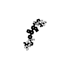 CCC(C)[C@H](NC(=O)OC)C(=O)N1CCC[C@H]1c1nc2ccc(-c3ccc(-c4ccc(-c5cnc([C@@H]6CCCN6C(=O)[C@@H](NC(=O)OC)C(C)C)[nH]5)c5c4C4CCC4C5)c4c3C3CCC4C3)cc2[nH]1